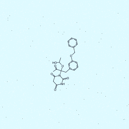 CC(=O)C(Cc1cccc(OCc2ccccc2)c1)(OC(C)O)N1C(=O)CC(=O)NC1=O